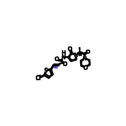 C[C@@H](C(=O)N1CCOCC1)N1CCC(NS(=O)(=O)/C=C/c2ccc(Cl)s2)C1=O